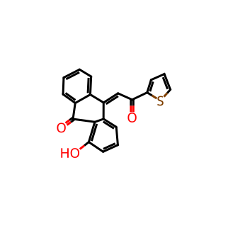 O=C(C=C1c2ccccc2C(=O)c2c(O)cccc21)c1cccs1